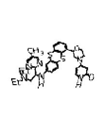 CCN(CC)CC(Nc1ccc2c(c1)Sc1cccc(C3CN(c4cc[nH]c(=O)c4)CCO3)c1S2)c1ncc(C)cn1